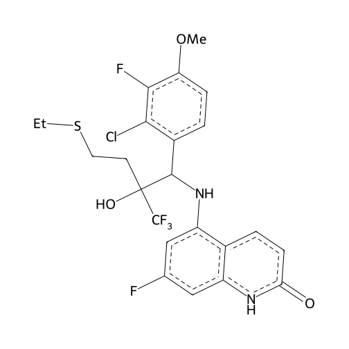 CCSCCC(O)(C(Nc1cc(F)cc2[nH]c(=O)ccc12)c1ccc(OC)c(F)c1Cl)C(F)(F)F